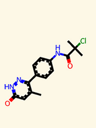 Cc1cc(=O)[nH]nc1-c1ccc(NC(=O)C(C)(C)Cl)cc1